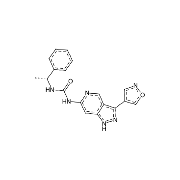 C[C@@H](NC(=O)Nc1cc2[nH]nc(-c3cnoc3)c2cn1)c1ccccc1